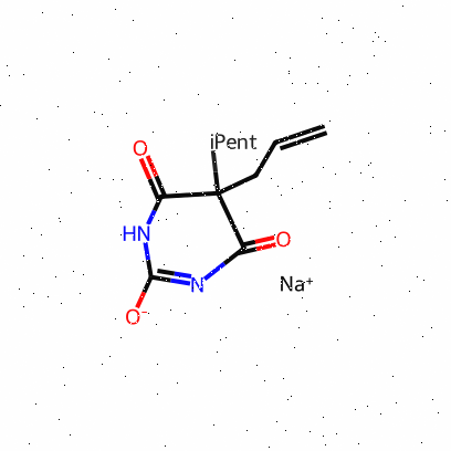 C=CCC1(C(C)CCC)C(=O)N=C([O-])NC1=O.[Na+]